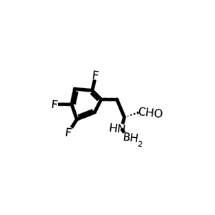 BN[C@@H](C=O)Cc1cc(F)c(F)cc1F